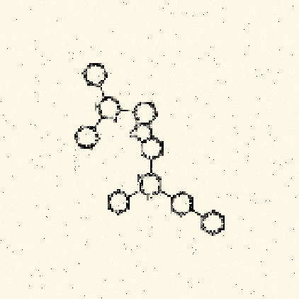 c1ccc(-c2ccc(-c3cc(-c4ccc5c(c4)sc4c(-c6cc(-c7ccccc7)nc(-c7ccccc7)n6)cccc45)nc(-c4ccccc4)n3)cc2)cc1